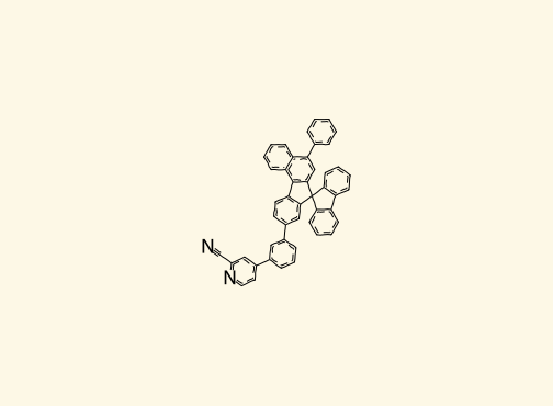 N#Cc1cc(-c2cccc(-c3ccc4c(c3)C3(c5ccccc5-c5ccccc53)c3cc(-c5ccccc5)c5ccccc5c3-4)c2)ccn1